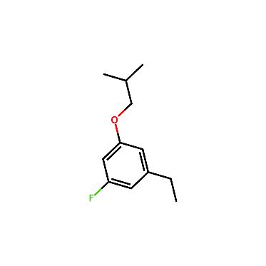 CCc1cc(F)cc(OCC(C)C)c1